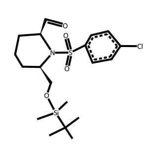 CC(C)(C)[Si](C)(C)OC[C@H]1CCC[C@@H](C=O)N1S(=O)(=O)c1ccc(Cl)cc1